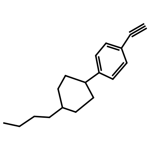 C#Cc1ccc(C2CCC(CCCC)CC2)cc1